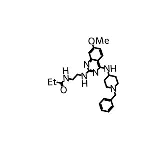 CCC(=O)NCCNc1nc(NC2CCN(Cc3ccccc3)CC2)c2ccc(OC)cc2n1